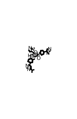 CC(C)c1cc(-c2ccc(Cl)c(C[C@H](NC(=O)c3ccnn3C)C(=O)Nc3ccc(-c4cncn4C)cc3)c2)ncn1